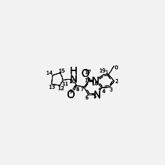 Cc1ccc2ncc(C(=O)NC3CCCC3)c(=O)n2c1